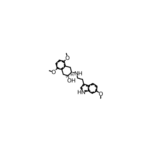 COc1ccc2c(CCN[C@@H]3Cc4c(OC)ccc(OC)c4C[C@H]3O)c[nH]c2c1